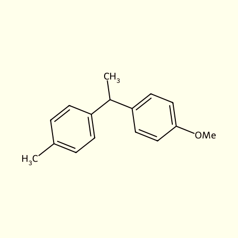 COc1ccc(C(C)c2ccc(C)cc2)cc1